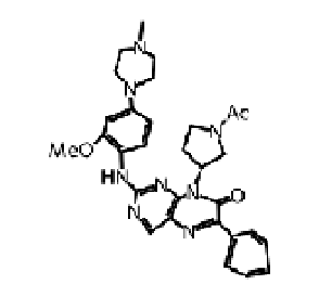 COc1cc(N2CCN(C)CC2)ccc1Nc1ncc2nc(-c3ccccc3)c(=O)n([C@H]3CCN(C(C)=O)C3)c2n1